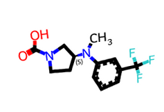 CN(c1cccc(C(F)(F)F)c1)[C@H]1CCN(C(=O)O)C1